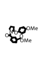 COC(=O)c1cccc(C(=O)N2CCC[C@H]2Oc2ccc(OC)cc2)c1